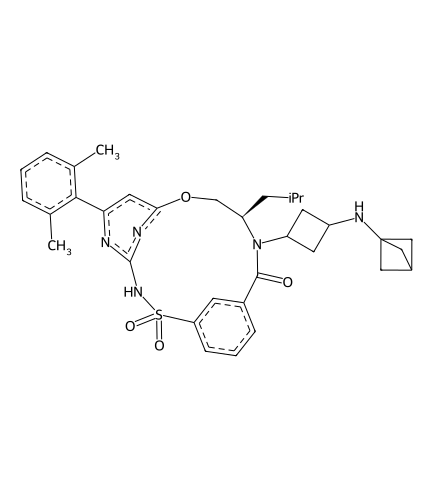 Cc1cccc(C)c1-c1cc2nc(n1)NS(=O)(=O)c1cccc(c1)C(=O)N(C1CC(NC34CC(C3)C4)C1)[C@H](CC(C)C)CO2